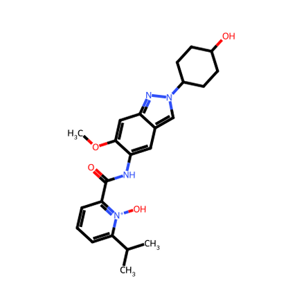 COc1cc2nn(C3CCC(O)CC3)cc2cc1NC(=O)c1cccc(C(C)C)[n+]1O